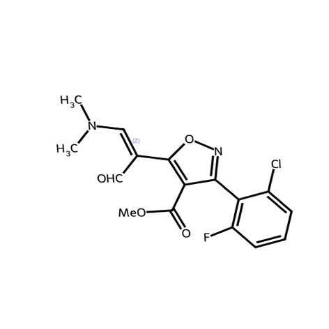 COC(=O)c1c(-c2c(F)cccc2Cl)noc1/C(C=O)=C/N(C)C